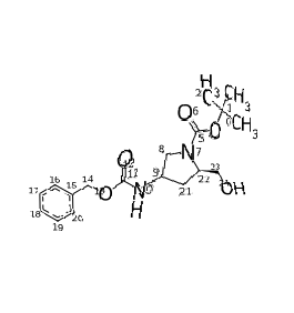 CC(C)(C)OC(=O)N1CC(NC(=O)OCc2ccccc2)C[C@@H]1CO